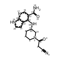 N#CCC(=O)N1CCC[C@@H](Nc2c(C(N)=O)cnc3[nH]ccc23)C1